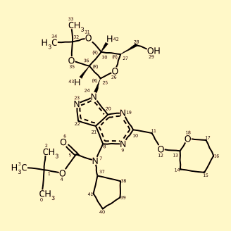 CC(C)(C)OC(=O)N(c1nc(COC2CCCCO2)nc2c1cnn2[C@@H]1O[C@H](CO)[C@H]2OC(C)(C)O[C@H]21)C1CCCC1